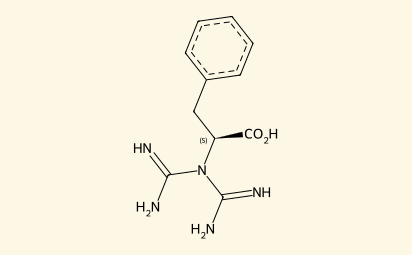 N=C(N)N(C(=N)N)[C@@H](Cc1ccccc1)C(=O)O